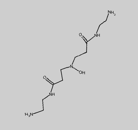 NCCNC(=O)CCN(O)CCC(=O)NCCN